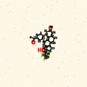 CC(=O)c1cccc([C@H]2C[C@@]3(C)C(CCC3(O)C(F)(F)C(F)(F)F)C3CCC4=CC(=O)CCC4=C32)c1